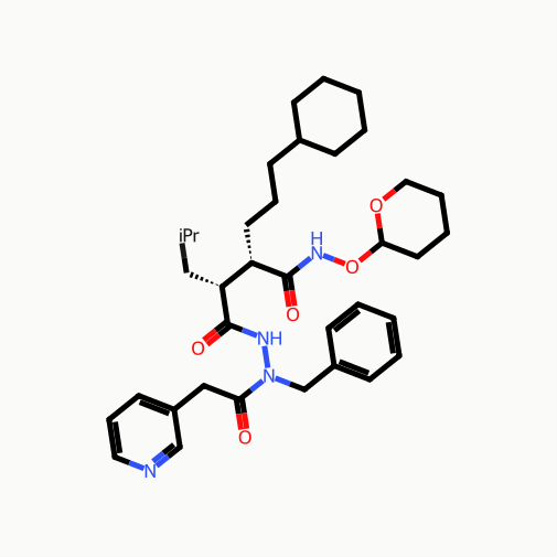 CC(C)C[C@@H](C(=O)NN(Cc1ccccc1)C(=O)Cc1cccnc1)[C@H](CCCC1CCCCC1)C(=O)NOC1CCCCO1